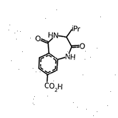 CC(C)C1NC(=O)c2ccc(C(=O)O)cc2NC1=O